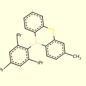 Cc1ccc2c(c1)Sc1ccccc1B2c1c(C(C)C)cc(C(C)C)cc1C(C)C